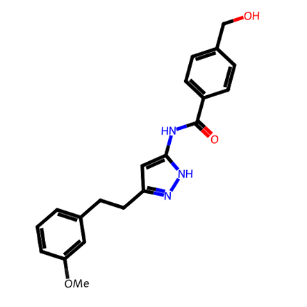 COc1cccc(CCc2cc(NC(=O)c3ccc(CO)cc3)[nH]n2)c1